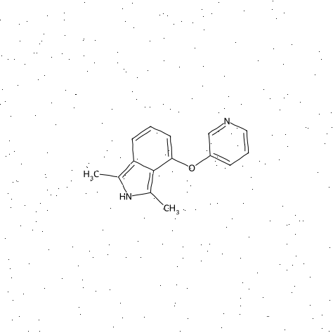 Cc1[nH]c(C)c2c(Oc3cccnc3)cccc12